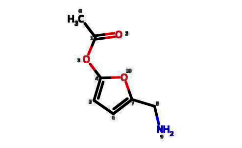 CC(=O)Oc1ccc(CN)o1